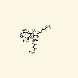 C=COC(C)=O.CCC(=O)O.CCCCOC(=O)/C=C\C(=O)OCCCC